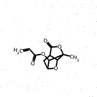 C=CC(=O)OC1C2CC3C(=O)OC1(C)C3O2